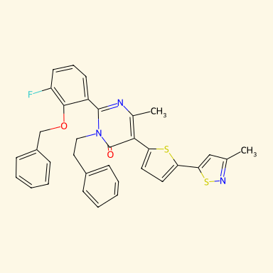 Cc1cc(-c2ccc(-c3c(C)nc(-c4cccc(F)c4OCc4ccccc4)n(CCc4ccccc4)c3=O)s2)sn1